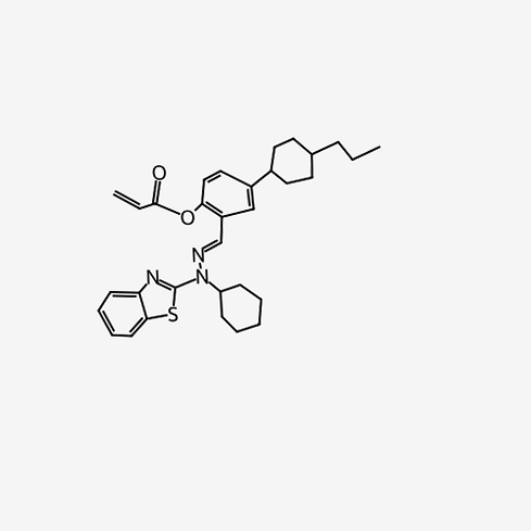 C=CC(=O)Oc1ccc(C2CCC(CCC)CC2)cc1/C=N/N(c1nc2ccccc2s1)C1CCCCC1